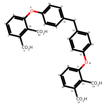 O=C(O)c1cccc(Oc2ccc(Cc3ccc(Oc4cccc(C(=O)O)c4C(=O)O)cc3)cc2)c1C(=O)O